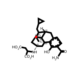 NC(=O)c1ccc2c(c1O)[C@]13CCC(CC4CC4)[C@H](C2)[C@]1(O)CC[C@@H](NC(CC(=O)O)C(=O)O)C3